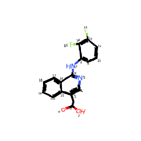 O=C(O)c1cnc(Nc2cccc(F)c2F)c2ccccc12